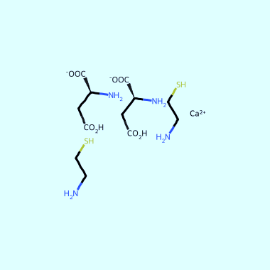 NCCS.NCCS.N[C@@H](CC(=O)O)C(=O)[O-].N[C@@H](CC(=O)O)C(=O)[O-].[Ca+2]